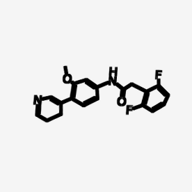 COc1cc(NC(=O)Cc2c(F)cccc2F)ccc1C1=CN=CCC1